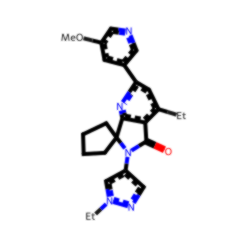 CCc1cc(-c2cncc(OC)c2)nc2c1C(=O)N(c1cnn(CC)c1)C21CCCC1